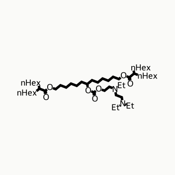 CCCCCCC(CCCCCC)C(=O)OCCCCCCC(CCCCCCOC(=O)C(CCCCCC)CCCCCC)OC(=O)OCCN(CC)CCN(CC)CC